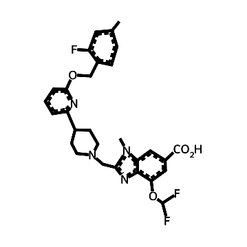 Cc1ccc(COc2cccc(C3CCN(Cc4nc5c(OC(F)F)cc(C(=O)O)cc5n4C)CC3)n2)c(F)c1